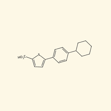 O=C(O)c1ccc(-c2ccc(C3CCCCC3)cc2)s1